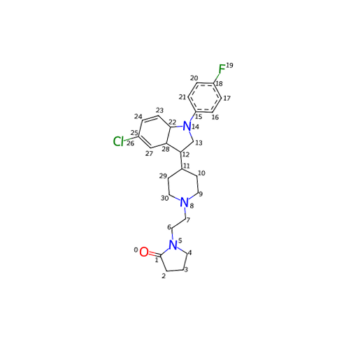 O=C1CCCN1CCN1CCC(C2CN(c3ccc(F)cc3)C3C=CC(Cl)=CC23)CC1